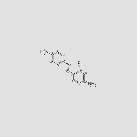 Nc1ccc(SSc2ccc(N)cc2Cl)cc1